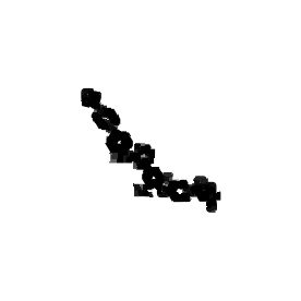 CS(=O)(=O)CC(=O)N1CC[C@H](Oc2ccc(-c3ncnc(Nc4ccc(N5CCN(C6COC6)CC5)cc4)n3)cc2C#N)[C@@H](F)C1